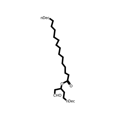 CCCCCCCCCCCCCCCCCCCCCCCC(=O)OC(CC=O)CCCCCCCCCCCC